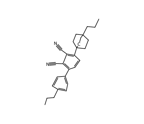 CCCc1ccc(-c2ccc(C34CCC(CCC)(CC3)CC4)c(C#N)c2C#N)cc1